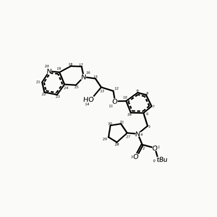 CC(C)(C)OC(=O)N(Cc1cccc(OCC(O)CN2CCc3ncccc3C2)c1)C1CCCC1